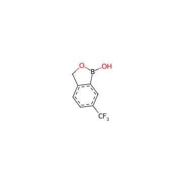 OB1OCc2ccc(C(F)(F)F)cc21